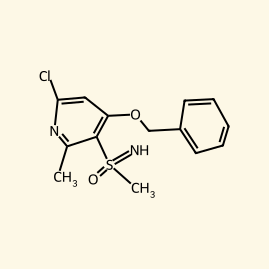 Cc1nc(Cl)cc(OCc2ccccc2)c1S(C)(=N)=O